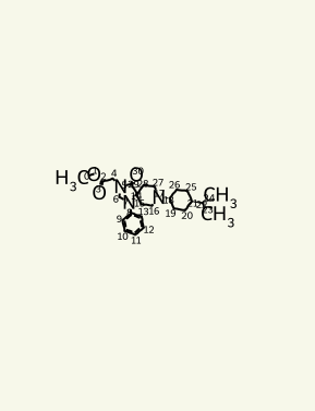 COC(=O)CN1CN(c2ccccc2)C2(CCN([C@H]3CC[C@H](C(C)C)CC3)CC2)C1=O